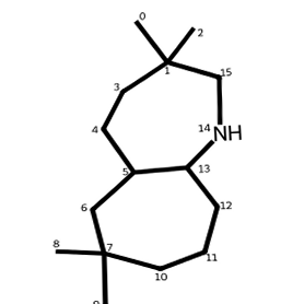 CC1(C)CCC2CC(C)(C)CCCC2NC1